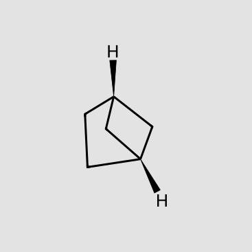 C1C[C@H]2C[C@@H]1C2